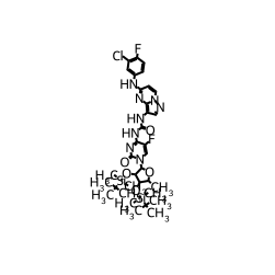 CC1OC(n2cc(F)c(NC(=O)Nc3cnn4ccc(Nc5ccc(F)c(Cl)c5)nc34)nc2=O)C(O[Si](C)(C)C(C)(C)C)C1O[Si](C)(C)C(C)(C)C